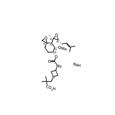 CO[C@@H]1[C@H](OC(=O)NC2CN(CC(C)(C)C(=O)O)C2)CC[C@]2(CO2)[C@H]1[C@@]1(C)O[C@@H]1CC=C(C)C.[NaH]